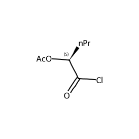 CCC[C@H](OC(C)=O)C(=O)Cl